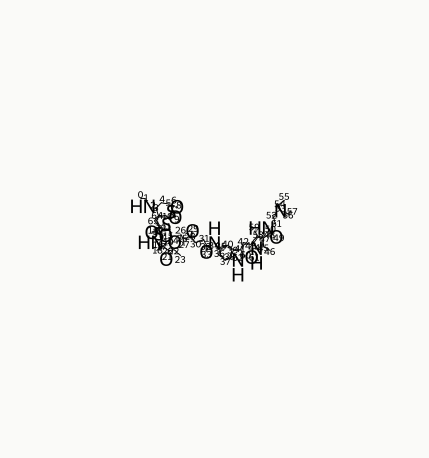 CCN[C@H]1C[C@H](C)S(=O)(=O)c2sc(S(=O)(=O)NC(C)(C)C(=O)C(C)OC(C)(C)C(=O)CCC(=O)Nc3ccc4c(c3)/C(=C/c3[nH]c(C)c(C(=O)NCCN(CC)CC)c3C)C(=O)N4)cc21